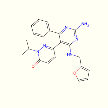 CC(C)n1nc(-c2c(NCc3ccco3)nc(N)nc2-c2ccccc2)ccc1=O